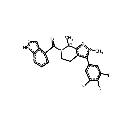 C[C@H]1c2nn(C)c(-c3cc(F)c(F)c(F)c3)c2CCN1C(=O)c1cccc2[nH]ncc12